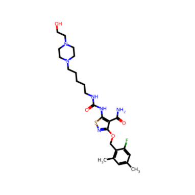 Cc1cc(C)c(COc2nsc(NC(=O)NCCCCCN3CCN(CCO)CC3)c2C(N)=O)c(F)c1